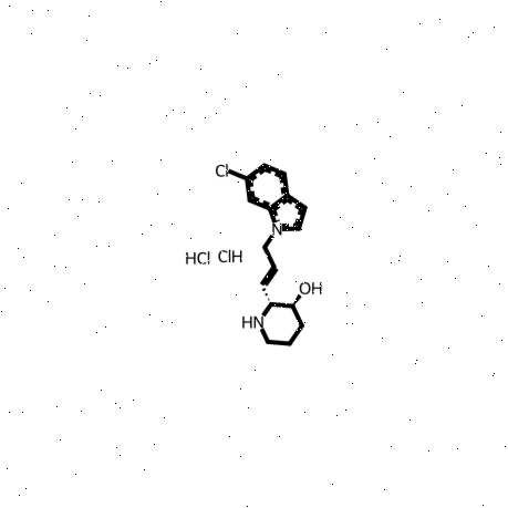 Cl.Cl.O[C@H]1CCCN[C@@H]1/C=C/Cn1ccc2ccc(Cl)cc21